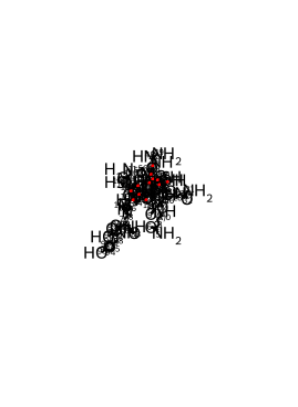 C[C@H](CCC(N)=O)NC(=O)[C@H](CCc1c[nH]c2ccccc12)NC(=O)[C@H](CCCNC(N)=O)NC(=O)C(CS)NC(=O)[C@H](CCCNC(=N)N)NC(=O)[C@@H]1CCCN1C(=O)[C@H](CC(=O)O)NC(=O)[C@@H](NC(=O)[C@H](CCc1cn(CC[C@H](NC=O)C(=O)N[C@@H](Cc2ccc(O)cc2)C(=O)O)nn1)NC(=O)[C@H](CS)NC(=O)CN)[C@@H](C)O